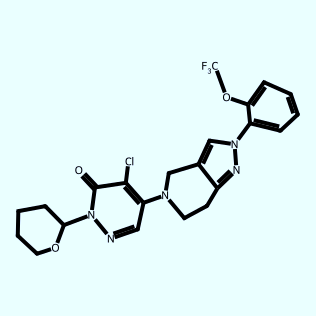 O=c1c(Cl)c(N2CCc3nn(-c4ccccc4OC(F)(F)F)cc3C2)cnn1C1CCCCO1